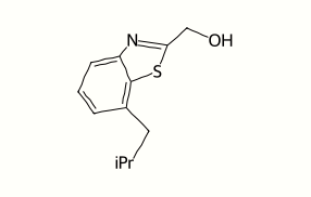 CC(C)Cc1cccc2nc(CO)sc12